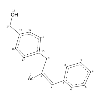 CC(=O)C(=Cc1ccccc1)Cc1ccc(CO)cc1